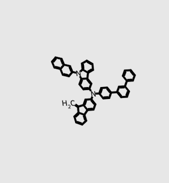 C=C1c2ccccc2-c2ccc(N(c3ccc(-c4cccc(-c5ccccc5)c4)cc3)c3ccc4c(c3)c3ccccc3n4-c3ccc4ccccc4c3)cc21